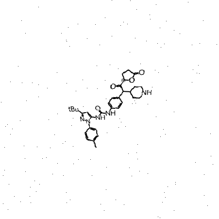 Cc1ccc(-n2nc(C(C)(C)C)cc2NC(=O)Nc2ccc(C(C(=O)[C@H]3CCC(=O)O3)C3CCNCC3)cc2)cc1